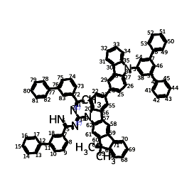 C/C(=N\C(=N/C(=N)c1cccc(-c2ccccc2)c1)n1c2ccc(-c3ccc4c(c3)c3ccccc3n4-c3cc(-c4ccccc4)cc(-c4ccccc4)c3)cc2c2cc3c(cc21)C(C)(C)c1ccccc1-3)c1cccc(-c2ccccc2)c1